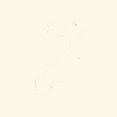 CC(C)c1ccccc1OCCN(C)c1ncnc2ccccc12